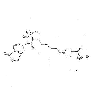 CCNC(=S)N1CCN(CCCCCCN2C(=S)N(c3ccc4c(c3)COC4=O)C(=O)C2(C)C)CC1